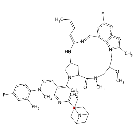 C=C(\N=C/C(/C=N\N(C)c1ccc(F)cc1P)=C(\C)N1CC2CC1C(=O)N(C)CC(OC)Cn1c(C)nc3cc(F)cc(c31)/C=N/C(=C\C=C/C)N2)N1CC2CC(C1)N2CCF